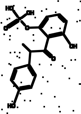 CC(C(=O)c1c(O)cccc1OP(=O)(O)O)c1ccc(O)cc1